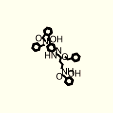 O=C(NCCCC(OCc1ccccc1)c1nc2cc(C3(O)c4ccccc4C(=O)N3Cc3ccccc3)ccc2[nH]1)c1ccccc1O